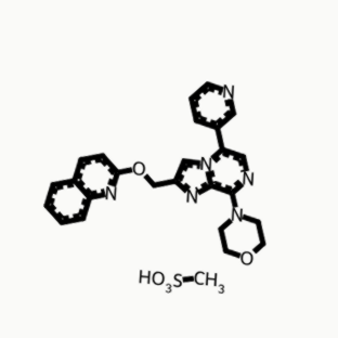 CS(=O)(=O)O.c1cncc(-c2cnc(N3CCOCC3)c3nc(COc4ccc5ccccc5n4)cn23)c1